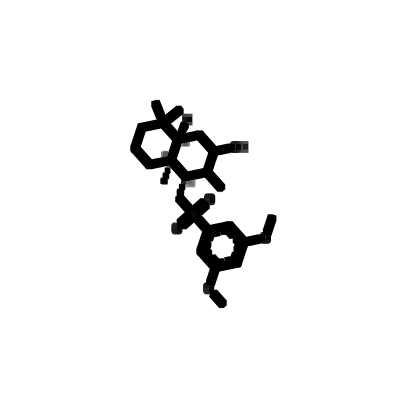 COc1cc(OC)cc(S(=O)(=O)C[C@H]2C(C)C(O)C[C@H]3C(C)(C)CCC[C@]23C)c1